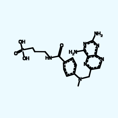 CN(Cc1cnc2nc(N)nc(N)c2n1)c1ccc(C(=O)NCCCP(=O)(O)O)cc1